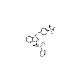 O=C(Nc1nn(Cc2ccc(C(F)(F)F)cc2)c2ccccc12)c1ccoc1